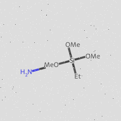 CC[Si](OC)(OC)OC.CN